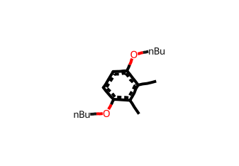 CCCCOc1ccc(OCCCC)c(C)c1C